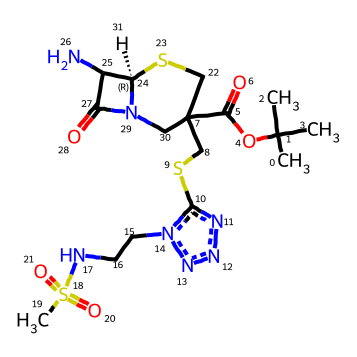 CC(C)(C)OC(=O)C1(CSc2nnnn2CCNS(C)(=O)=O)CS[C@@H]2C(N)C(=O)N2C1